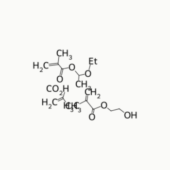 C=C(C)C(=O)O.C=C(C)C(=O)OC(C)OCC.C=C(C)C(=O)OCCO